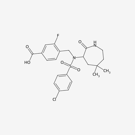 CC1(C)CCNC(=O)C(N(Cc2ccc(C(=O)O)cc2F)S(=O)(=O)c2ccc(Cl)cc2)C1